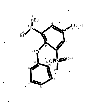 CCCCN(CC)c1cc(C(=O)O)cc(S(C)(=O)=O)c1Oc1ccccc1